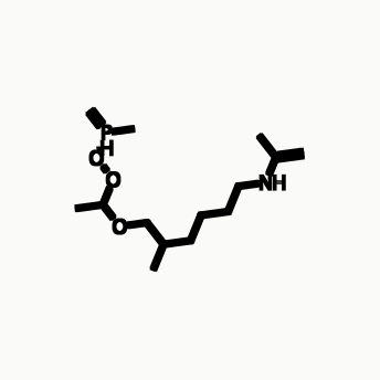 C=C(C)NCCCCC(C)COC(C)OO[PH](=C)C